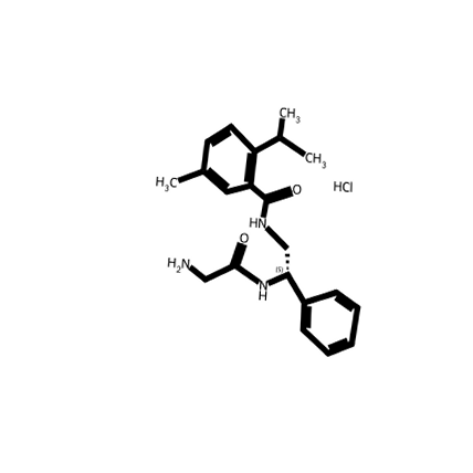 Cc1ccc(C(C)C)c(C(=O)NC[C@@H](NC(=O)CN)c2ccccc2)c1.Cl